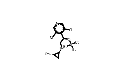 CC[Si](CC)(CC)OC(CN[C@H]1C[C@@H]1C(C)C)c1c(Cl)cncc1Cl